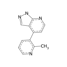 Cc1ncccc1-c1ccnc2c1C=N[N]2